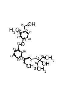 CCC(=CCCC(O)(CC)CC)c1cccc(COc2ccc(CO)c(C)c2)c1